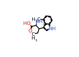 CCC(c1c[nH]c2cccc(C)c12)C(N)C(=O)O